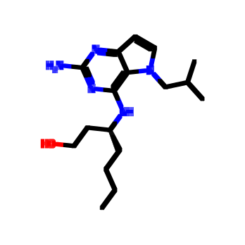 CCCC[C@@H](CCO)Nc1nc(N)nc2ccn(CC(C)C)c12